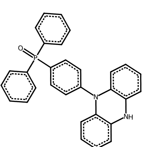 O=P(c1ccccc1)(c1ccccc1)c1ccc(N2c3ccccc3Nc3ccccc32)cc1